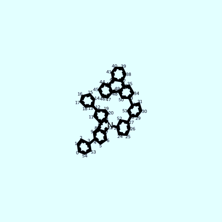 c1ccc(-c2ccc3c(c2)c2cc(-c4ccccc4)ccc2n3-c2cccc(-c3cccc(-c4ccc5c6ccccc6c6ccccc6c5c4)c3)c2)cc1